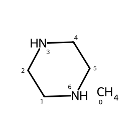 C.C1CNCCN1